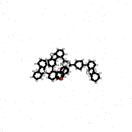 c1ccc(-c2nc(-c3ccc(-c4cccc5c4oc4ccccc45)cc3)nc(-c3cccc4oc5ccc(-c6c(-n7c8ccccc8c8ccccc87)ccc7oc8ccccc8c67)cc5c34)n2)cc1